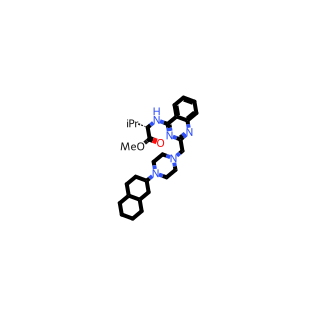 COC(=O)[C@@H](Nc1nc(CN2CCN(C3CCC4CCCCC4C3)CC2)nc2ccccc12)C(C)C